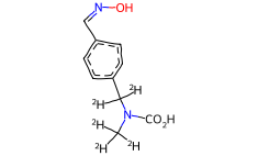 [2H]C([2H])([2H])N(C(=O)O)C([2H])([2H])c1ccc(/C=N\O)cc1